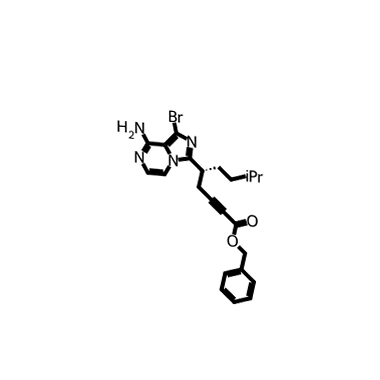 CC(C)CC[C@H](CC#CC(=O)OCc1ccccc1)c1nc(Br)c2c(N)nccn12